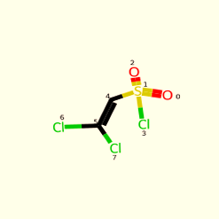 O=S(=O)(Cl)C=C(Cl)Cl